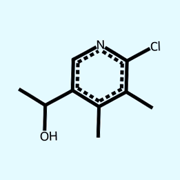 Cc1c(C(C)O)cnc(Cl)c1C